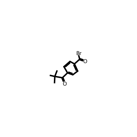 CC(C)(C)C(=O)c1ccc(C(=O)Br)cc1